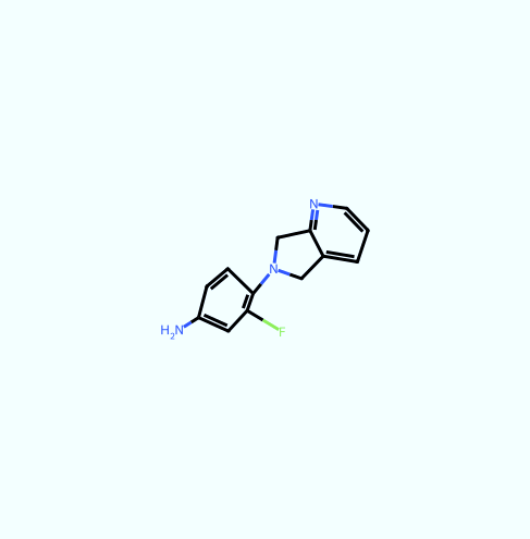 Nc1ccc(N2Cc3cccnc3C2)c(F)c1